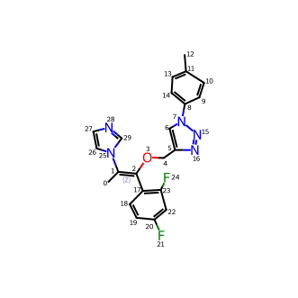 C/C(=C(/OCc1cn(-c2ccc(C)cc2)nn1)c1ccc(F)cc1F)n1ccnc1